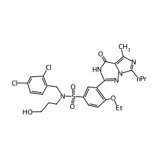 CCCc1nc(C)c2c(=O)[nH]c(-c3cc(S(=O)(=O)N(CCCO)Cc4ccc(Cl)cc4Cl)ccc3OCC)nn12